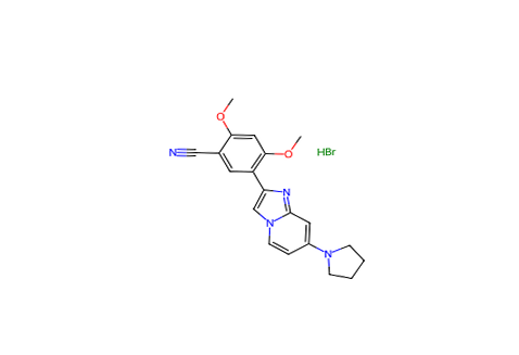 Br.COc1cc(OC)c(-c2cn3ccc(N4CCCC4)cc3n2)cc1C#N